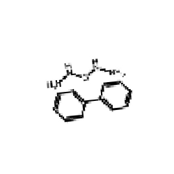 NNONN.c1ccc(-c2ccccc2)cc1